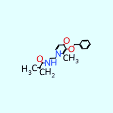 C=C(C)C(=O)NCCn1ccc(=O)c(OCc2ccccc2)c1C